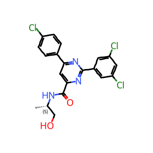 C[C@@H](CO)NC(=O)c1cc(-c2ccc(Cl)cc2)nc(-c2cc(Cl)cc(Cl)c2)n1